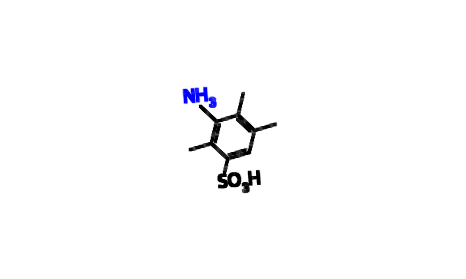 Cc1cc(S(=O)(=O)O)c(C)c(C)c1C.N